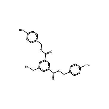 CC(C)(C)c1ccc(COC(=O)c2cc(CO)cc(C(=O)OCc3ccc(C(C)(C)C)cc3)c2)cc1